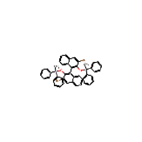 C[Si](Oc1c(Br)cc2ccccc2c1-c1c(O[Si](C)(c2ccccc2)c2ccccc2)c(Br)cc2ccccc12)(c1ccccc1)c1ccccc1